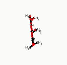 CCCCCC(CCCCC)CCCCOC(=O)CCCCCCCC(CCCCCCCC(=O)OCCCCC(CCCCC)CCCCC)CCCCN(C)C